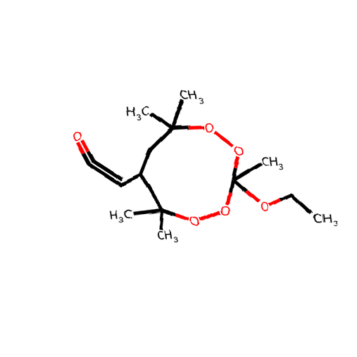 CCOC1(C)OOC(C)(C)CC(C=C=O)C(C)(C)OO1